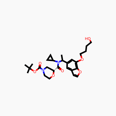 CC(c1cc(OCCCCO)c2occc2c1)N(C(=O)[C@H]1CN(C(=O)OC(C)(C)C)CCO1)C1CC1